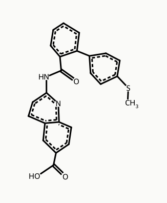 CSc1ccc(-c2ccccc2C(=O)Nc2ccc3cc(C(=O)O)ccc3n2)cc1